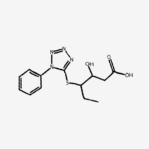 CCC(Sc1nnnn1-c1ccccc1)C(O)CC(=O)O